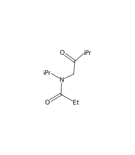 CCC(=O)N(CC(=O)C(C)C)C(C)C